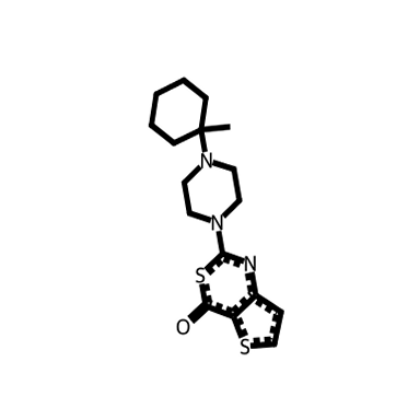 CC1(N2CCN(c3nc4ccsc4c(=O)s3)CC2)CCCCC1